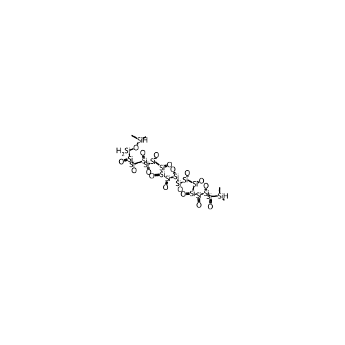 C[SiH](C)O[SiH2][Si](=O)[Si](=O)[Si](=O)[Si](=O)[Si](=O)[Si](=O)[Si](=O)[Si](=O)[Si](=O)[Si](=O)[Si](=O)[Si](=O)[Si](=O)[Si](=O)[Si](=O)[Si](=O)[SiH](C)C